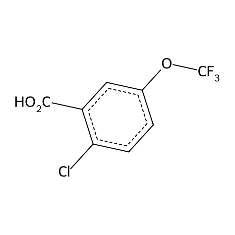 O=C(O)c1cc(OC(F)(F)F)ccc1Cl